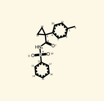 Cc1ccc(C2(C(=O)NS(=O)(=O)c3ccccc3)CC2)cc1